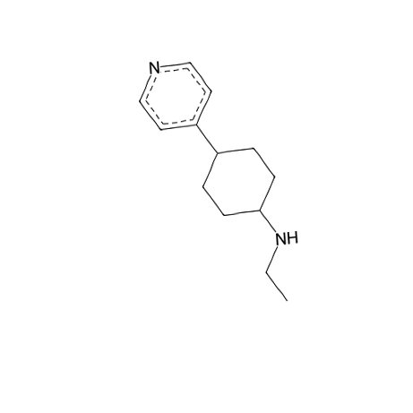 CCNC1CCC(c2ccncc2)CC1